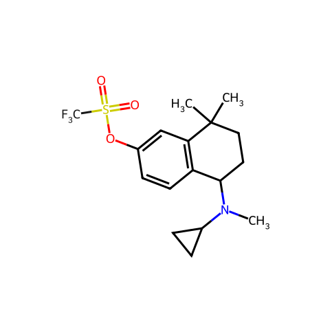 CN(C1CC1)C1CCC(C)(C)c2cc(OS(=O)(=O)C(F)(F)F)ccc21